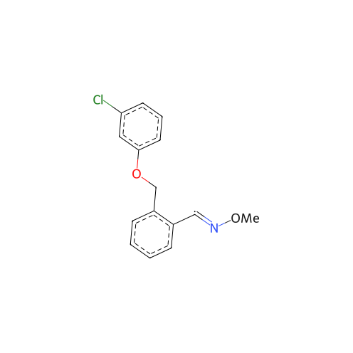 CON=[C]c1ccccc1COc1cccc(Cl)c1